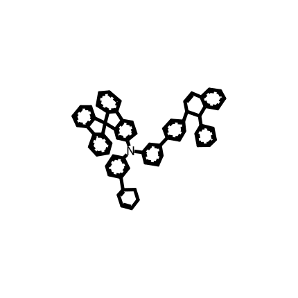 C1=CCCC(c2cccc(N(c3cccc(-c4ccc(C5C=Cc6ccccc6C5c5ccccc5)cc4)c3)c3ccc4c(c3)C3(c5ccccc5-c5ccccc53)c3ccccc3-4)c2)=C1